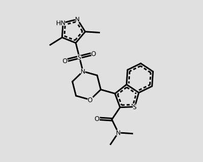 Cc1n[nH]c(C)c1S(=O)(=O)N1CCOC(c2c(C(=O)N(C)C)sc3ccccc23)C1